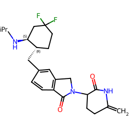 C=C1CCC(N2Cc3cc(C[C@H]4CCC(F)(F)C[C@@H]4NC(C)C)ccc3C2=O)C(=O)N1